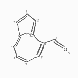 O=Cc1ccccc2cccc1-2